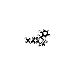 CN1/C(=N/C(=O)OC(C)(C)C)N[C@](C)(c2cc(F)ccc2F)CS1(=O)=O